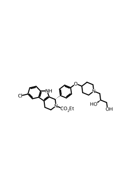 CCOC(=O)N1CCc2c([nH]c3ccc(Cl)cc23)[C@@H]1c1ccc(OC2CCN(C[C@H](O)CO)CC2)cc1